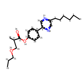 CCCCCCc1cnc(-c2ccc(OC(=O)C(C)COCCC)cc2)cn1